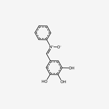 [O-][N+](=Cc1cc(O)c(O)c(O)c1)c1ccccc1